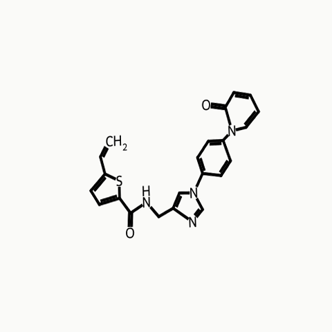 C=Cc1ccc(C(=O)NCc2cn(-c3ccc(-n4ccccc4=O)cc3)cn2)s1